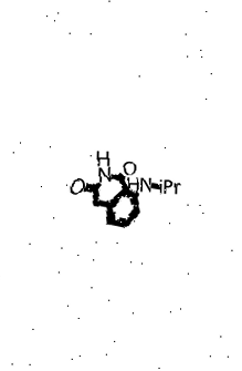 CC(C)Nc1cccc2c1C(=O)NC(=O)C2